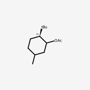 CC(=O)OC1CC(C)CC[C@H]1C(C)(C)C